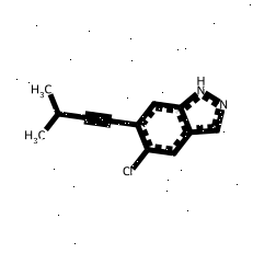 CC(C)C#Cc1cc2[nH]ncc2cc1Cl